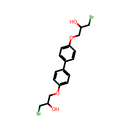 OC(CBr)COc1ccc(-c2ccc(OCC(O)CBr)cc2)cc1